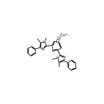 Cc1c(-c2ccccc2)nc(-c2cccc(-c3nc(-c4ccccc4)c(C)n3C)n2)n1C.[Cl-].[Cl-].[Co+2]